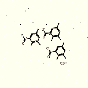 Cc1cc(C)c(C)c(C(=O)[O-])c1.Cc1cc(C)c(C)c(C(=O)[O-])c1.Cc1cc(C)c(C)c(C(=O)[O-])c1.[Ga+3]